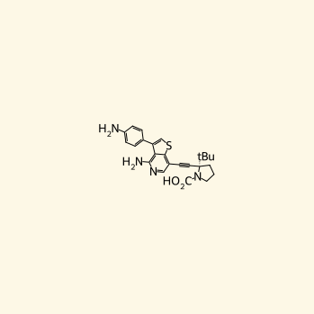 CC(C)(C)[C@]1(C#Cc2cnc(N)c3c(-c4ccc(N)cc4)csc23)CCCN1C(=O)O